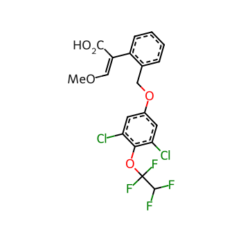 COC=C(C(=O)O)c1ccccc1COc1cc(Cl)c(OC(F)(F)C(F)F)c(Cl)c1